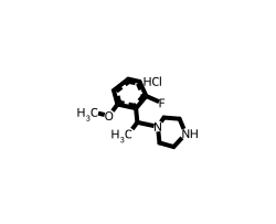 COc1cccc(F)c1C(C)N1CCNCC1.Cl